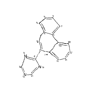 c1ccc2c(c1)cc(-c1ncncn1)c1ccccc12